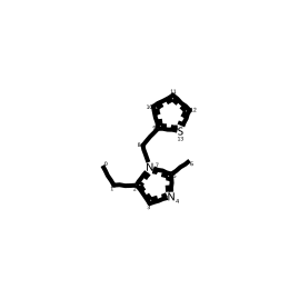 CCc1cnc(C)n1Cc1cccs1